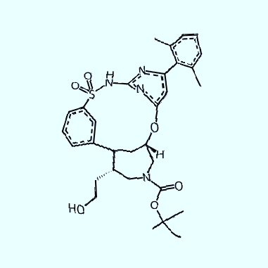 Cc1cccc(C)c1-c1cc2nc(n1)NS(=O)(=O)c1cccc(c1)C1C[C@@H](CN(C(=O)OC(C)(C)C)C[C@@H]1CCO)O2